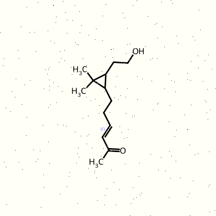 CC(=O)/C=C/CCC1C(CCO)C1(C)C